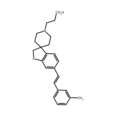 Cc1cccc(C=Cc2ccc3c(c2)OCC32CCN(CCC(=O)O)CC2)c1